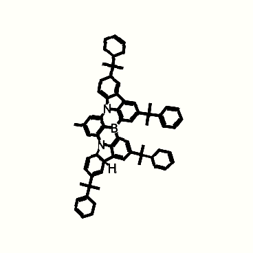 Cc1cc2c3c(c1)-n1c4c(c5cc(C(C)(C)c6ccccc6)cc(c51)B3c1cc(C(C)(C)C3C=CC=CC3)cc3c1N2C1C=CC(C(C)(C)C2=CC=CCC2)=C[C@@H]31)=CC(C(C)(C)C1CC=CCC1)CC=4